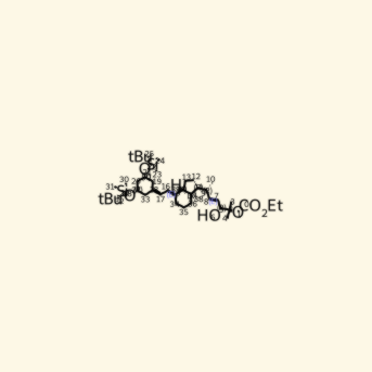 CCOC(=O)OC(C)(C)[C@H](O)/C=C/[C@@H](C)[C@H]1CC[C@H]2/C(=C/C=C3C[C@@H](O[Si](C)(C)C(C)(C)C)C[C@H](O[Si](C)(C)C(C)(C)C)C3)CCC[C@]12C